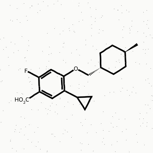 C[C@H]1CC[C@H](COc2cc(F)c(C(=O)O)cc2C2CC2)CC1